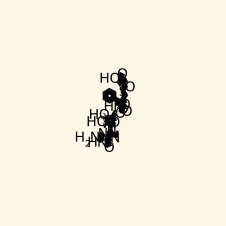 CC(C)(C(=O)O)C(=O)SCCOP(=O)(NCc1ccccc1)OCC1O[C@@H](n2cnc3c(=O)[nH]c(N)nc32)[C@](C)(O)[C@@H]1O